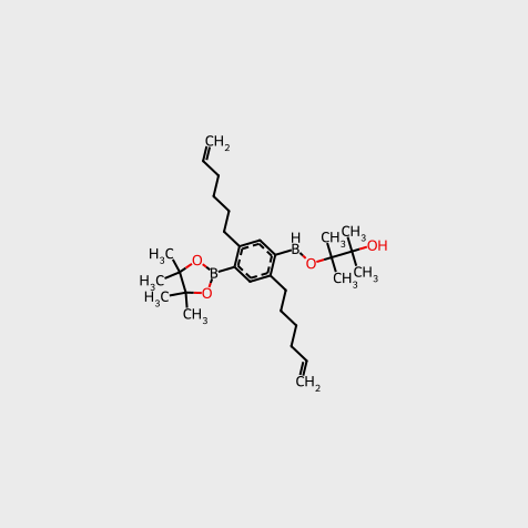 C=CCCCCc1cc(B2OC(C)(C)C(C)(C)O2)c(CCCCC=C)cc1BOC(C)(C)C(C)(C)O